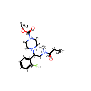 CCN(CC(c1ccccc1F)N1CCN(C(=O)OC(C)(C)C)CC1)C(=O)CC(C)C